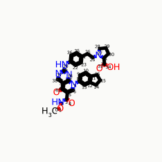 CONC(=O)c1cn(-c2ccc3c(c2)CCC3)c2nc(Nc3ccc(CCN4CCCC4C(=O)O)cc3)ncc2c1=O